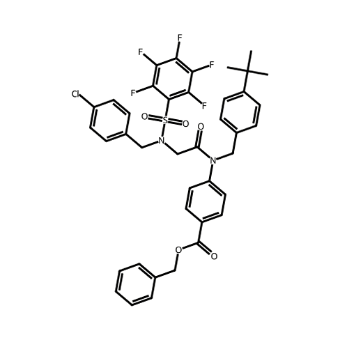 CC(C)(C)c1ccc(CN(C(=O)CN(Cc2ccc(Cl)cc2)S(=O)(=O)c2c(F)c(F)c(F)c(F)c2F)c2ccc(C(=O)OCc3ccccc3)cc2)cc1